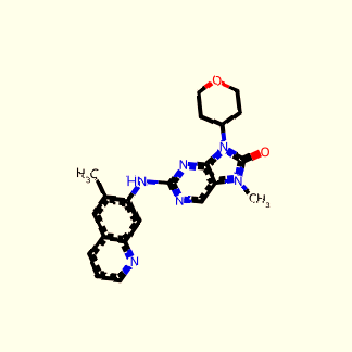 Cc1cc2cccnc2cc1Nc1ncc2c(n1)n(C1CCOCC1)c(=O)n2C